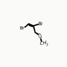 COC/C(Br)=C\Br